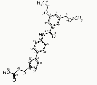 CCOc1cc(COC)cc(C(=O)Nc2ccc(-c3cnc(CCC(=O)O)s3)cc2)c1